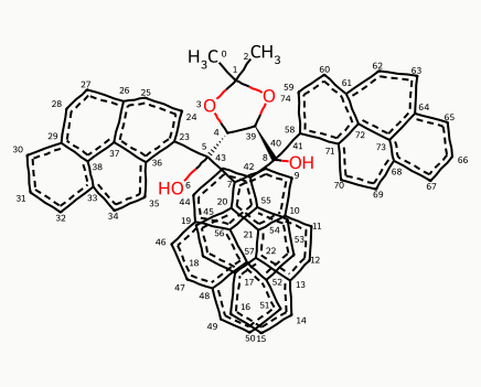 CC1(C)O[C@@H](C(O)(c2ccc3ccc4cccc5ccc2c3c45)c2ccc3ccc4cccc5ccc2c3c45)[C@H](C(O)(c2ccc3ccc4cccc5ccc2c3c45)c2ccc3ccc4cccc5ccc2c3c45)O1